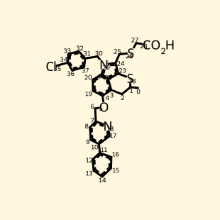 CC1Cc2c(OCc3ccc(-c4ccccc4)cn3)ccc3c2c(c(CSCC(=O)O)n3Cc2ccc(Cl)cc2)S1